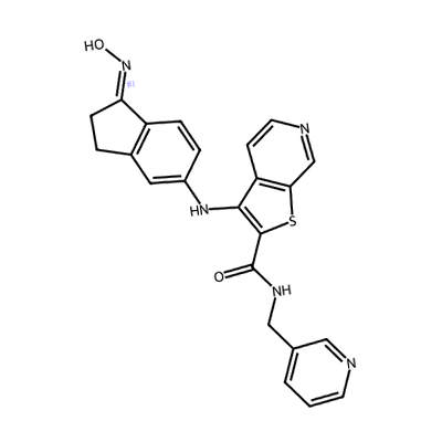 O=C(NCc1cccnc1)c1sc2cnccc2c1Nc1ccc2c(c1)CC/C2=N\O